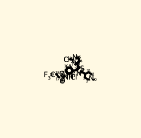 CN1CCC(c2nc(-c3cccc(NS(=O)(=O)CCC(F)(F)F)c3Cl)c(-c3ccnc(Cl)n3)s2)CC1